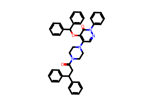 O=C(CC(c1ccccc1)c1ccccc1)N1CCN(c2cnn(-c3ccccc3)c(=O)c2OC(c2ccccc2)c2ccccc2)CC1